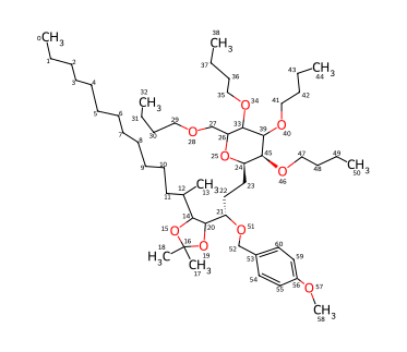 CCCCCCCCCCCCC(C)C1OC(C)(C)OC1[C@H](CC[C@H]1OC(COCCCC)C(OCCCC)C(OCCCC)[C@H]1OCCCC)OCc1ccc(OC)cc1